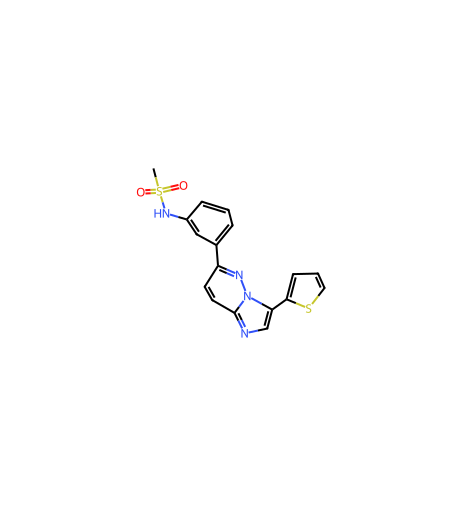 CS(=O)(=O)Nc1cccc(-c2ccc3ncc(-c4cccs4)n3n2)c1